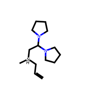 C=CC[SiH](C)CC(N1CCCC1)N1CCCC1